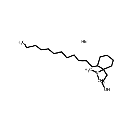 Br.CCCCCCCCCCCCC1CCCCC1(CCO)N(C)C